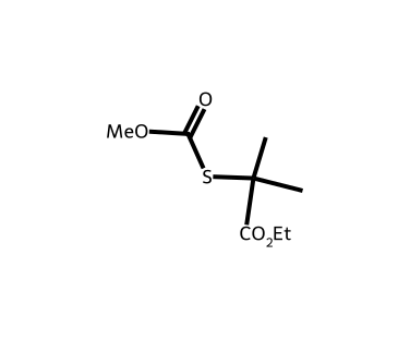 CCOC(=O)C(C)(C)SC(=O)OC